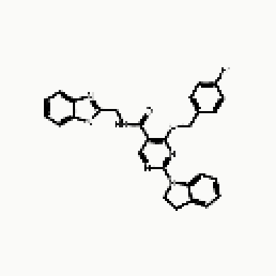 O=C(NCc1nc2ccccc2[nH]1)c1cnc(N2CCc3ccccc32)nc1OCc1ccc(Br)cc1